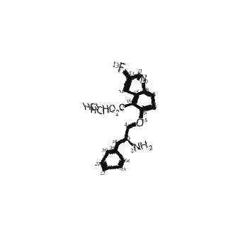 Cl.Cl.N[C@H](COc1ccc2ncc(F)cc2c1C(=O)O)Cc1ccccc1